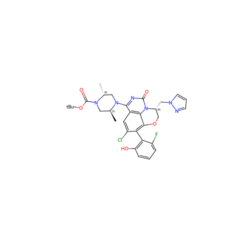 C[C@@H]1CN(c2nc(=O)n3c4c(c(-c5c(O)cccc5F)c(Cl)cc24)OC[C@H]3Cn2cccn2)[C@@H](C)CN1C(=O)OC(C)(C)C